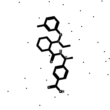 CCN(Oc1cccc(C)c1)C1CCCCC1C(=O)N[C@@H](C)c1ccc(C(=O)O)cc1